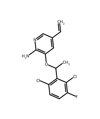 C=Cc1cnc(N)c(OC(C)c2c(Cl)ccc(F)c2Cl)c1